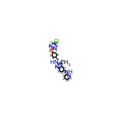 Cn1c(NCc2ccc(Oc3ncc(Cl)cn3)cc2)nc2ccc(Nc3ccccn3)cc21